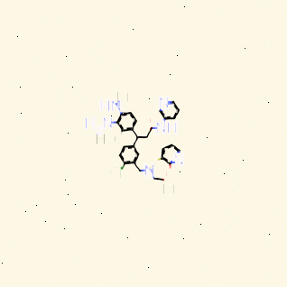 CCNc1ccc(C(CC(=O)Nc2cccnc2)c2ccc(Cl)c(CN3C[C@@H](CC)Oc4ncccc4S3)c2)c(C)c1N